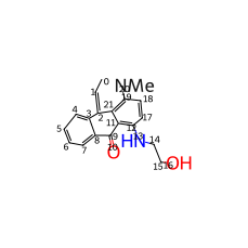 C/C=C1/c2ccccc2C(=O)c2c(NCCO)ccc(NC)c21